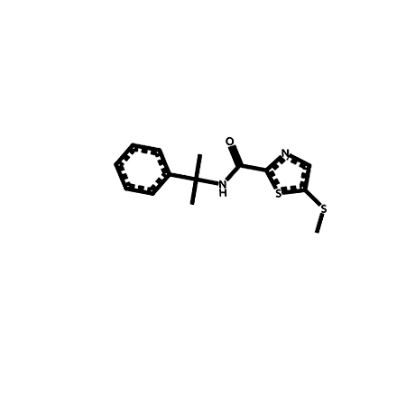 CSc1cnc(C(=O)NC(C)(C)c2ccccc2)s1